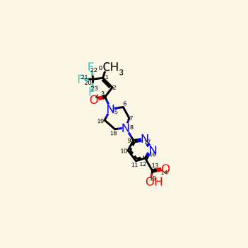 CC(=CC(=O)N1CCN(c2ccc(C(=O)O)nn2)CC1)C(F)(F)F